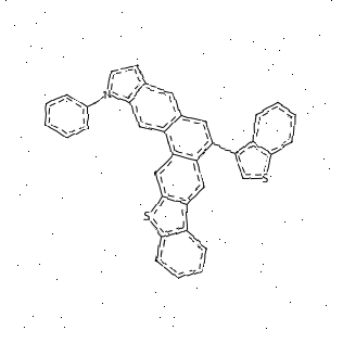 c1ccc(-n2ccc3cc4cc(-c5csc6ccccc56)c5cc6c(cc5c4cc32)sc2ccccc26)cc1